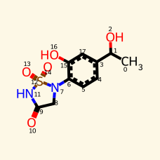 CC(O)c1ccc(N2CC(=O)NS2(=O)=O)c(O)c1